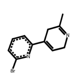 CC1=NCC=C(c2cccc(Br)n2)C1